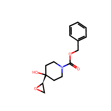 O=C(OCc1ccccc1)N1CCC(O)([C@H]2CO2)CC1